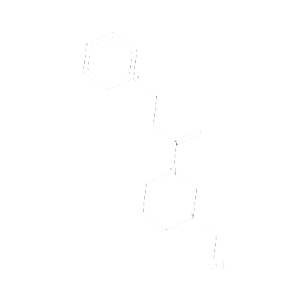 O=C(CCc1ccccc1)N1CCCC(CO)C1